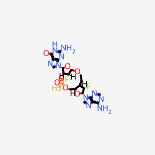 Nc1nc2c(ncn2[C@@H]2OC3OCC[C@H]4[C@H](F)[C@H](n5cnc6c(N)ncnc65)O[C@@H]4COP(=O)(S)O[C@@H]2[C@@H]3F)c(=O)[nH]1